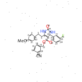 COc1ccc(CCC2=C(C(=O)OCc3cccc(C#N)c3)C(c3cccc(F)c3)NC(=O)N2)cc1